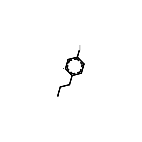 CCCc1[c]cc(I)cc1